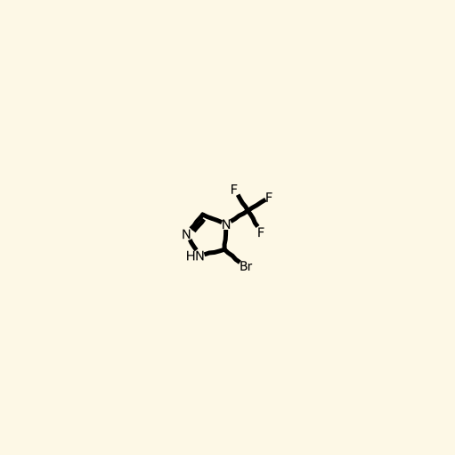 FC(F)(F)N1C=NNC1Br